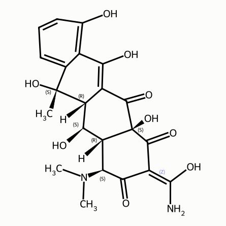 CN(C)[C@@H]1C(=O)/C(=C(\N)O)C(=O)[C@@]2(O)C(=O)C3=C(O)c4c(O)cccc4[C@@](C)(O)[C@H]3[C@H](O)[C@@H]12